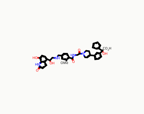 COc1cc(CNCC(O)c2ccc(O)c3[nH]c(=O)ccc23)ccc1C(=O)NCC(=O)N1CC=C(c2cccc(C(O)(C(=O)O)c3ccccc3)c2)CC1